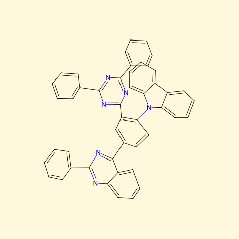 c1ccc(-c2nc(-c3ccccc3)nc(-c3cc(-c4nc(-c5ccccc5)nc5ccccc45)ccc3-n3c4ccccc4c4ccccc43)n2)cc1